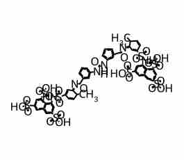 CC1C=CC(S(=O)(=O)Nc2cc(S(=O)(=O)O)cc3cc(S(=O)(=O)O)cc(S(=O)(=O)O)c23)=CC1=NC(=O)c1cccc(NC(=O)Nc2cccc(C(=O)N=C3C=C(S(=O)(=O)Nc4cc(S(=O)(=O)O)cc5cc(S(=O)(=O)O)cc(S(=O)(=O)O)c45)C=CC3C)c2)c1